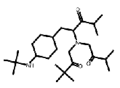 CC(C)C(=O)CN(CC(=O)C(C)(C)C)C(CC1CCC(NC(C)(C)C)CC1)C(=O)C(C)C